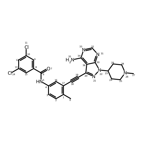 Cc1ccc(NC(=O)c2cc(Cl)cc(Cl)c2)cc1C#Cc1nn(C2CCN(C)CC2)c2ncnc(N)c12